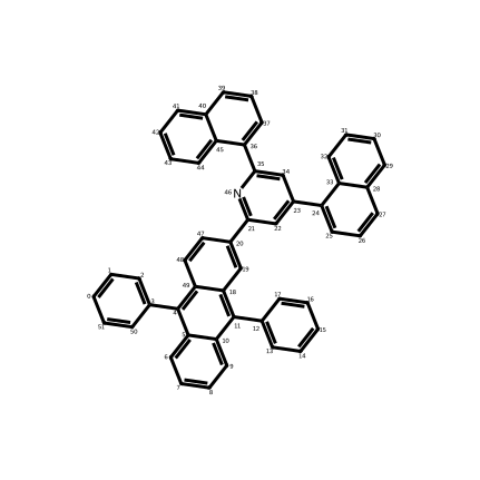 c1ccc(-c2c3ccccc3c(-c3ccccc3)c3cc(-c4cc(-c5cccc6ccccc56)cc(-c5cccc6ccccc56)n4)ccc23)cc1